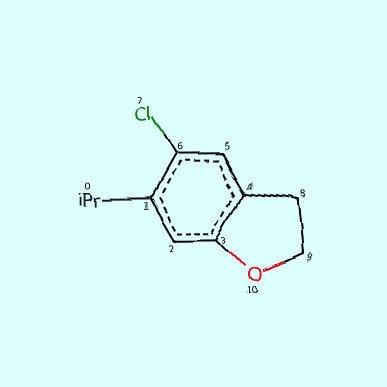 CC(C)c1cc2c(cc1Cl)CCO2